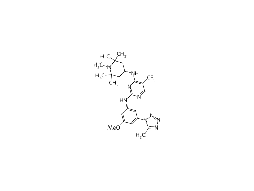 COc1cc(Nc2ncc(C(F)(F)F)c(NC3CC(C)(C)N(C)C(C)(C)C3)n2)cc(-n2nnnc2C)c1